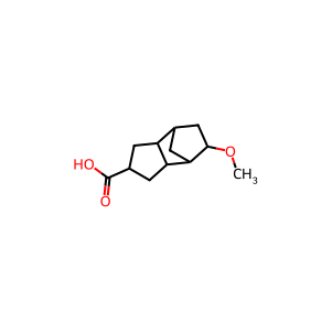 COC1CC2CC1C1CC(C(=O)O)CC21